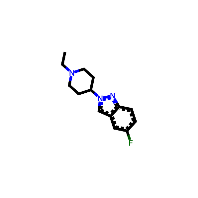 CCN1CCC(n2cc3cc(F)ccc3n2)CC1